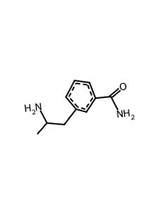 CC(N)Cc1cccc(C(N)=O)c1